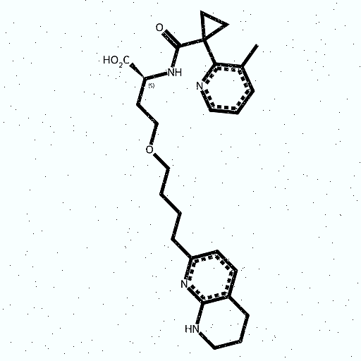 Cc1cccnc1C1(C(=O)N[C@@H](CCOCCCCc2ccc3c(n2)NCCC3)C(=O)O)CC1